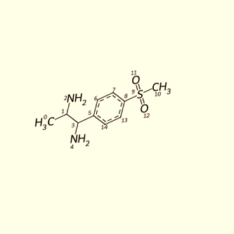 CC(N)C(N)c1ccc(S(C)(=O)=O)cc1